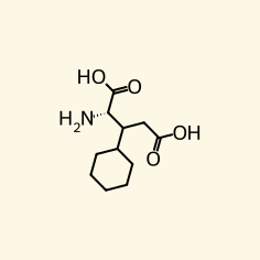 N[C@H](C(=O)O)C(CC(=O)O)C1CCCCC1